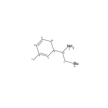 CCC(C)CC(N)C1C=C(C)C=CC1